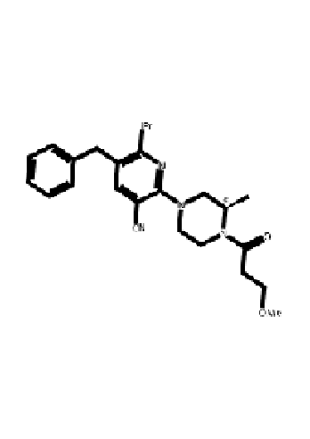 COCCC(=O)N1CCN(c2nc(C(C)C)c(Cc3ccccc3)cc2C#N)C[C@H]1C